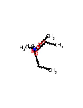 CCCCCCCC/C=C\CCCCCCCCOCC(OCCCCCCCC/C=C\CCCCCCCC)C(=O)N(CCOCCOCCOCCCCC)C(CC)CCCCC